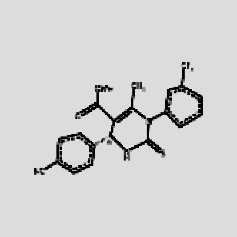 COC(=O)C1=C(C)N(c2cccc(C(F)(F)F)c2)C(=S)N[C@@H]1c1ccc(C#N)cc1